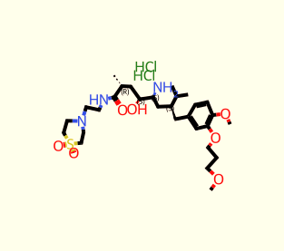 COCCCOc1cc(C[C@@H](C[C@H](N)[C@@H](O)C[C@@H](C)C(=O)NCCN2CCS(=O)(=O)CC2)C(C)C)ccc1OC.Cl.Cl